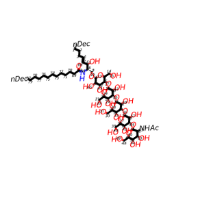 CCCCCCCCCCCCC/C=C/[C@@H](O)[C@H](CO[C@@H]1OC(CO)[C@@H](O[C@@H]2OC(CO)[C@H](O)[C@H](O[C@H]3OC(CO)[C@H](O)[C@H](O[C@H]4OC(CO)[C@H](O)[C@H](O[C@@H]5OC(CO)[C@H](O)[C@H](O)C5NC(C)=O)C4O)C3O)C2O)[C@H](O)C1O)NC(=O)CCCCCCCCCCCCCCCCCCCCC